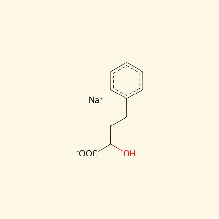 O=C([O-])C(O)CCc1ccccc1.[Na+]